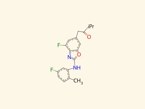 Cc1ccc(F)cc1Nc1nc2c(F)cc(CC(=O)C(C)C)cc2o1